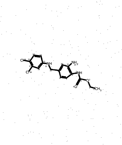 CCOC(=O)Nc1ccc(CNc2ccc(Cl)c(Cl)c2)cc1N